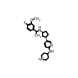 COc1cc(C(C)N[C@H]2CC[C@@H](c3ccc(NC4CCNCC4)nc3)C2)ccc1F